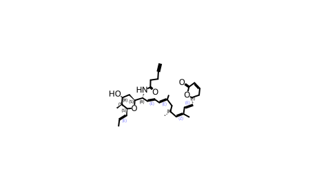 C#CCCC(=O)N[C@H](/C=C/C=C(\C)C[C@@H](C)/C=C(C)\C=C\[C@H]1CC=CC(=O)O1)[C@@H]1C[C@@H](O)[C@H](C)[C@H](/C=C/C)O1